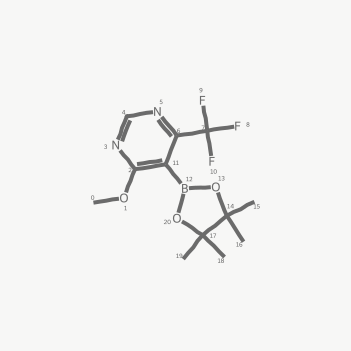 COc1ncnc(C(F)(F)F)c1B1OC(C)(C)C(C)(C)O1